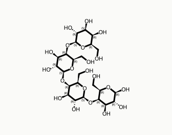 OC[C@H]1O[C@@H](O[C@@H]2[C@H](O)[C@@H](O)[C@H](O[C@@H]3[C@H](O)[C@@H](O)[C@H](O[C@@H]4[C@H](O)[C@@H](O)[C@H](O)O[C@@H]4CO)O[C@@H]3CO)O[C@@H]2CO)[C@H](O)[C@@H](O)[C@H]1O